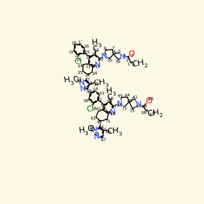 C=CC(=O)N1CC2(CCN(c3nc4c(c(-c5ccccc5Cl)c3C)CC[C@@H](c3c(C)cnn3C)C4)C2)C1.C=CC(=O)N1CC2(CCN(c3nc4c(c(-c5ccccc5Cl)c3C)CC[C@H](c3c(C)cnn3C)C4)C2)C1